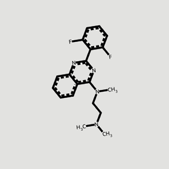 CN(C)CCN(C)c1nc(-c2c(F)cccc2F)nc2ccccc12